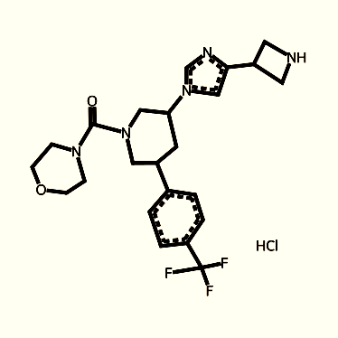 Cl.O=C(N1CCOCC1)N1CC(c2ccc(C(F)(F)F)cc2)CC(n2cnc(C3CNC3)c2)C1